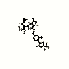 COc1ncnc(C2CC2)c1-c1nc(OCc2ccc(-c3nc(C(F)(F)F)cn3C)c(F)c2)c2c(n1)c(C)cn2C